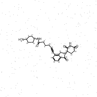 NC1CCC(NC(=O)CCCC#Cc2cccc3c2CN(C2CCC(=O)NC2=O)C3=O)CC1